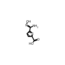 N/C(=N\O)c1ccc(C(=O)O)s1